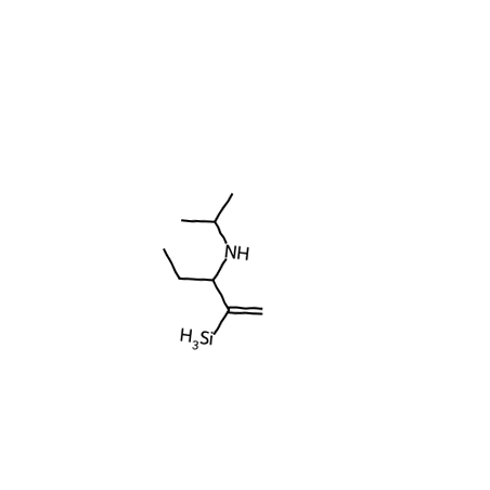 C=C([SiH3])C(CC)NC(C)C